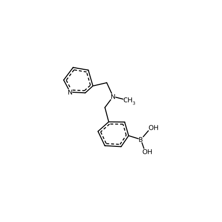 CN(Cc1cccnc1)Cc1cccc(B(O)O)c1